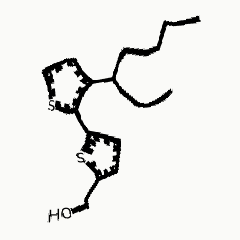 CCCCC(CC)c1ccsc1-c1ccc(CO)s1